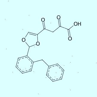 O=C(O)C(=O)CC(=O)C1=COC(c2ccccc2Cc2ccccc2)O1